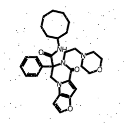 O=C1c2cc3occc3n2CC(C(=O)NC2CCCCCCC2)(c2ccccc2)N1CCN1CCOCC1